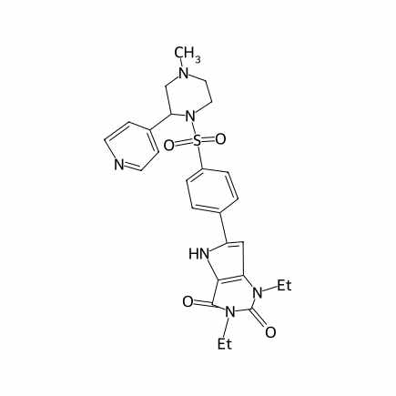 CCn1c(=O)c2[nH]c(-c3ccc(S(=O)(=O)N4CCN(C)CC4c4ccncc4)cc3)cc2n(CC)c1=O